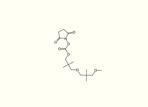 COCC(C)(C)COCC(C)(C)COC(=O)ON1C(=O)CCC1=O